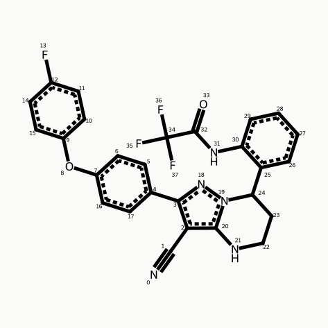 N#Cc1c(-c2ccc(Oc3ccc(F)cc3)cc2)nn2c1NCCC2c1ccccc1NC(=O)C(F)(F)F